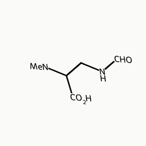 CNC(CNC=O)C(=O)O